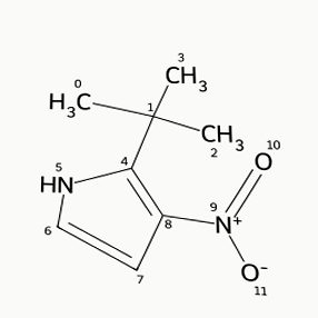 CC(C)(C)c1[nH]ccc1[N+](=O)[O-]